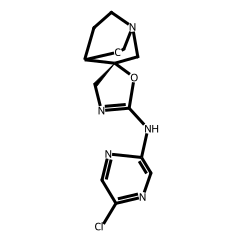 Clc1cnc(NC2=NC[C@@]3(CN4CCC3CC4)O2)cn1